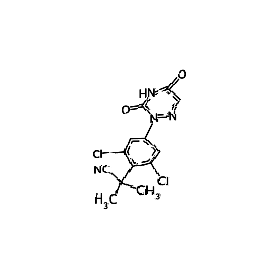 CC(C)(C#N)c1c(Cl)cc(-n2ncc(=O)[nH]c2=O)cc1Cl